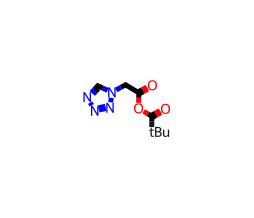 CC(C)(C)C(=O)OC(=O)Cn1cnnn1